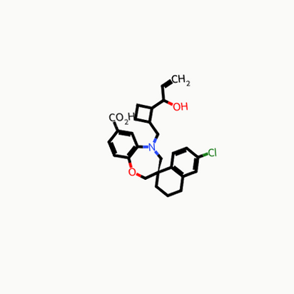 C=CC(O)C1CCC1CN1C[C@@]2(CCCc3cc(Cl)ccc32)COc2ccc(C(=O)O)cc21